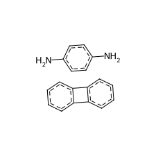 Nc1ccc(N)cc1.c1ccc2c(c1)-c1ccccc1-2